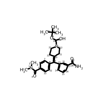 CN(C)C(=O)c1ccc(C(=C2CCN(C(O)OC(C)(C)C)CC2)c2cccc(C(N)=O)c2)cc1